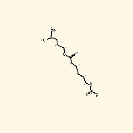 CC(C)CCCOC(=O)CCCCCO[N+](=O)[O-]